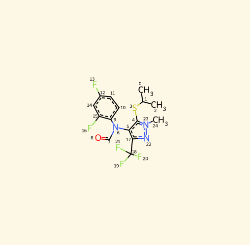 CC(C)Sc1c(N(C=O)c2ccc(F)cc2F)c(C(F)(F)F)nn1C